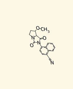 COC1CCN2C(=O)N(c3ccc(C#N)c4ccccc34)C(=O)C12